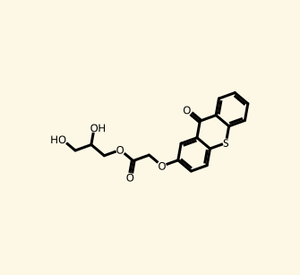 O=C(COc1ccc2sc3ccccc3c(=O)c2c1)OCC(O)CO